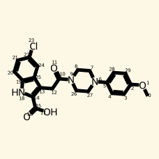 COc1ccc(N2CCN(C(=O)Cc3c(C(=O)O)[nH]c4ccc(Cl)cc34)CC2)cc1